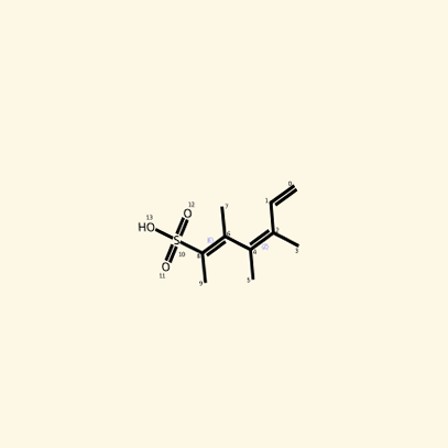 C=C/C(C)=C(C)\C(C)=C(/C)S(=O)(=O)O